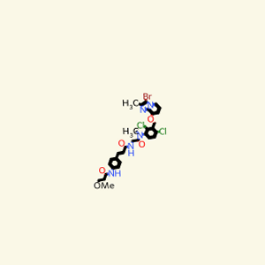 COCCC(=O)Nc1ccc(C=CC(=O)NCC(=O)N(C)c2ccc(Cl)c(COc3cccn4c(Br)c(C)nc34)c2Cl)cc1